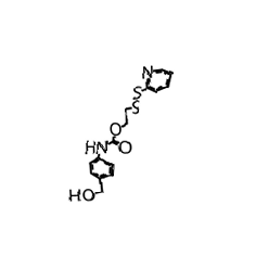 O=C(Nc1ccc(CO)cc1)OCCSSc1ccccn1